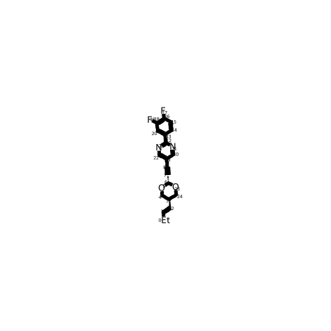 CC/C=C/[C@H]1CO[C@H](C#Cc2cnc(-c3ccc(F)c(F)c3)nc2)OC1